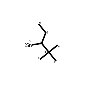 CC[CH]([Sn])C(C)(C)C